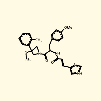 CCCCOC1(c2ccccc2C)CN(C(=O)C(Cc2ccc(OC)cc2)NC(=O)C=Cc2c[nH]cn2)C1